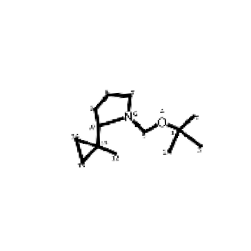 CC(C)(C)OCN1CCCC1C1(C)CC1